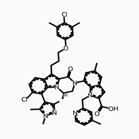 Cc1ccnc(Cn2c(C(=O)O)cc3cc(C)cc(N4C[C@@H](C)n5c(c(CCCOc6cc(C)c(Cl)c(C)c6)c6ccc(Cl)c(-c7c(C)nn(C)c7C)c65)C4=O)c32)c1